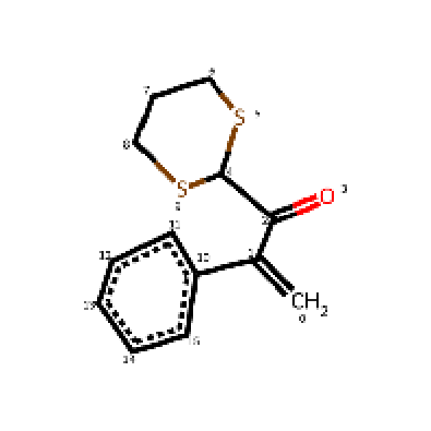 C=C(C(=O)C1SCCCS1)c1ccccc1